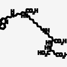 O=C(O)CCC(NCNC(CCCCNCCCCCCCCNC(CCCCNCCc1ccc2ccccc2n1)C(=O)O)C(=O)O)C(=O)O